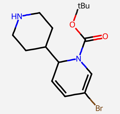 CC(C)(C)OC(=O)N1C=C(Br)C=CC1C1CCNCC1